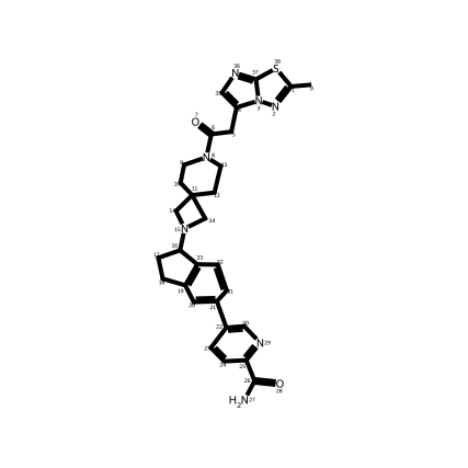 Cc1nn2c(CC(=O)N3CCC4(CC3)CN(C3CCc5cc(-c6ccc(C(N)=O)nc6)ccc53)C4)cnc2s1